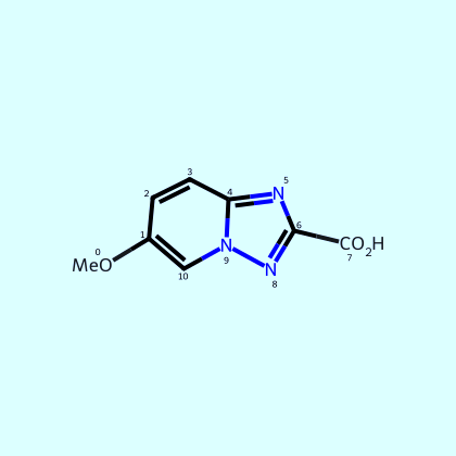 COc1ccc2nc(C(=O)O)nn2c1